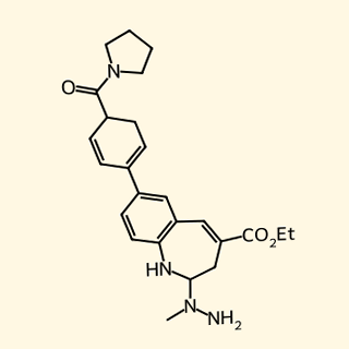 CCOC(=O)C1=Cc2cc(C3=CCC(C(=O)N4CCCC4)C=C3)ccc2NC(N(C)N)C1